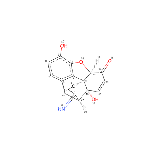 N=C1CC[C@]23c4c5ccc(O)c4O[C@H]2C(=O)C=C[C@@]3(O)[C@H]1C5